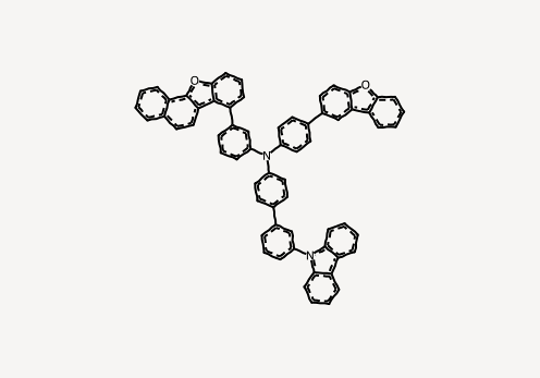 c1cc(-c2cccc3oc4c5ccccc5ccc4c23)cc(N(c2ccc(-c3cccc(-n4c5ccccc5c5ccccc54)c3)cc2)c2ccc(-c3ccc4oc5ccccc5c4c3)cc2)c1